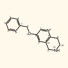 c1ccc(COc2cnc3c(c2)CNCC3)cc1